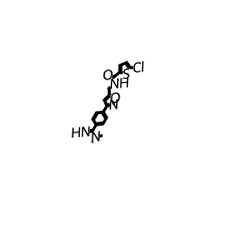 CN(C)C(=N)c1ccc(-c2cc(CNC(=O)c3ccc(Cl)s3)on2)cc1